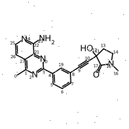 Cc1nc(-c2cccc(C#CC3(O)CCN(C)C3=O)c2)nc2c(N)nccc12